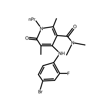 CCCn1c(C)c(C(=O)N(C)C)c(Nc2ccc(Br)cc2F)c(C)c1=O